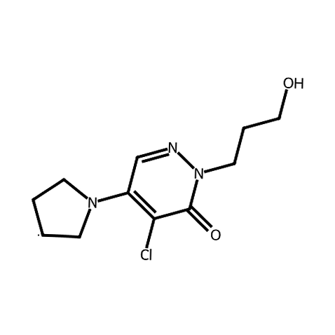 O=c1c(Cl)c(N2C[CH]CC2)cnn1CCCO